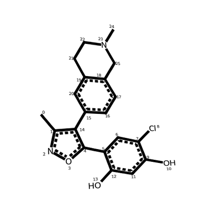 Cc1noc(-c2cc(Cl)c(O)cc2O)c1-c1ccc2c(c1)CCN(C)C2